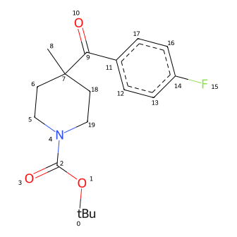 CC(C)(C)OC(=O)N1CCC(C)(C(=O)c2ccc(F)cc2)CC1